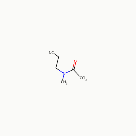 CN(CCC#N)C(=O)C(Cl)(Cl)Cl